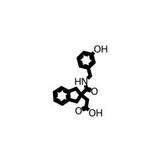 O=C(O)CC1(C(=O)NCc2cccc(O)c2)Cc2ccccc2C1